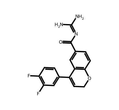 NC(N)=NC(=O)c1ccc2c(c1)C(c1ccc(F)c(F)c1)=CCO2